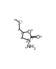 CSCC1CN(N)C(=O)O1